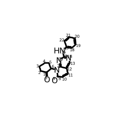 O=C1CCCCC1n1c(=O)ccc2cnc(Nc3ccccc3)nc21